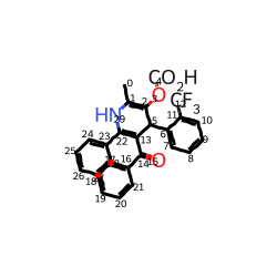 CC1=C(OC(=O)O)C(c2ccccc2C(F)(F)F)C(C(=O)c2ccccc2)=C(c2ccccc2)N1